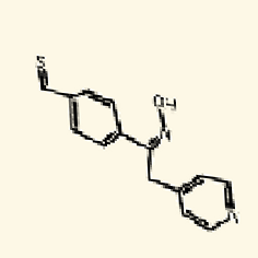 ON=C(Cc1ccncc1)c1ccc(C=S)cc1